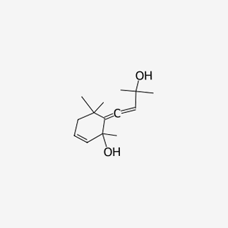 CC(C)(O)C=C=C1C(C)(O)C=CCC1(C)C